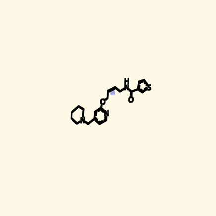 O=C(NC/C=C\COc1cc(CN2CCCCC2)ccn1)c1ccsc1